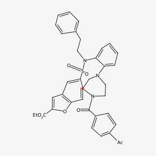 CCOC(=O)c1cc2cc(S(=O)(=O)N(CCc3ccccc3)c3ccccc3N3CCN(C(=O)c4ccc(C(C)=O)cc4)CC3)ccc2o1